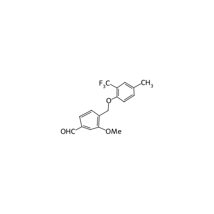 COc1cc(C=O)ccc1COc1ccc(C)cc1C(F)(F)F